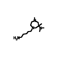 CN1CCN(CCCCCN)CC(C)(N(C)C)C1